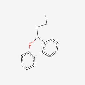 CCCC(Oc1ccccc1)c1[c]cccc1